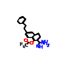 N=C(N)c1ccc2cc(CCc3ccccc3)ccc2c1OC(=O)C(F)(F)F